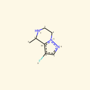 CC1NCCn2ncc(F)c21